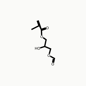 C=C(C)C(=O)OCC(O)COC=O